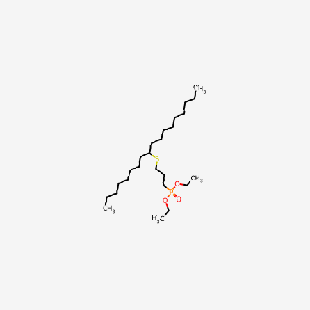 CCCCCCCCCC(CCCCCCCC)SCCCP(=O)(OCC)OCC